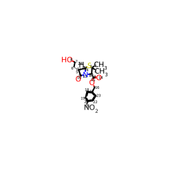 CC1(C)S[C@@H]2[C@@H](CCO)C(=O)N2[C@H]1C(=O)OCc1ccc([N+](=O)[O-])cc1